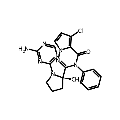 C[C@@]1(c2nn3ccc(Cl)c3c(=O)n2-c2ccccc2)CCCN1c1ncnc(N)n1